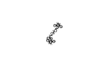 O=C(CCOCCOCCN1C(=O)C=CC1=O)ON1C(=O)CCC1=O